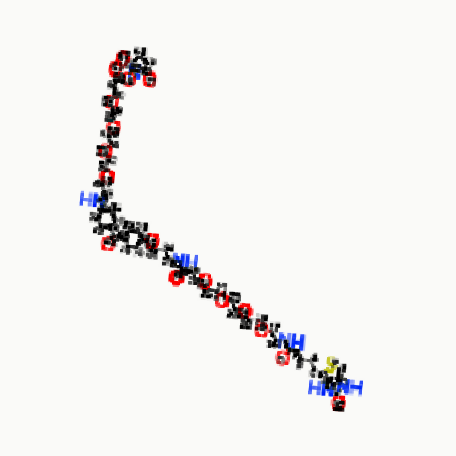 O=C(CCCCC1SCC2NC(=O)NC21)NCCOCCOCCOCCOCCC(=O)NCCCOc1ccc(C(=O)c2ccc(NCCOCCOCCOCCOCCC(=O)ON3C(=O)CCC3=O)cc2)cc1